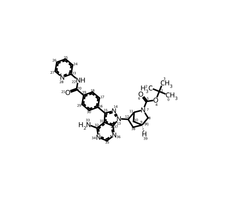 CC(C)(C)OC(=O)N1C[C@@H]2CC1C(n1nc(-c3ccc(C(=O)Nc4ccccn4)cc3)c3c(N)ncnc31)C2